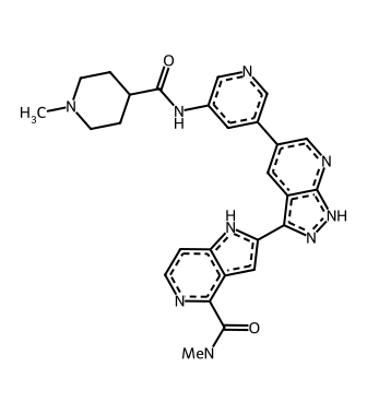 CNC(=O)c1nccc2[nH]c(-c3n[nH]c4ncc(-c5cncc(NC(=O)C6CCN(C)CC6)c5)cc34)cc12